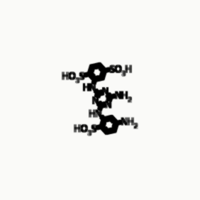 Nc1ccc(S(=O)(=O)O)c(Nc2nc(N)nc(Nc3cc(S(=O)(=O)O)ccc3S(=O)(=O)O)n2)c1